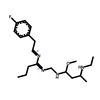 CCCC(=N/CNC(CC(C)NCC)OC)/N=C/Cc1ccc(F)cc1